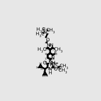 Cc1nn(COCC[Si](C)(C)C)c(C)c1-c1ccc(NC(=O)[C@@H](NC(=O)OC(C)(C)C)C(C2CC2)C2CC2)nc1F